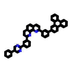 c1ccc(-c2cnc(-c3cccc(-c4ccc5ccc6ccc(-c7cccc(-c8ccc9c%10ccccc%10c%10ccccc%10c9c8)c7)nc6c5n4)c3)nc2)cc1